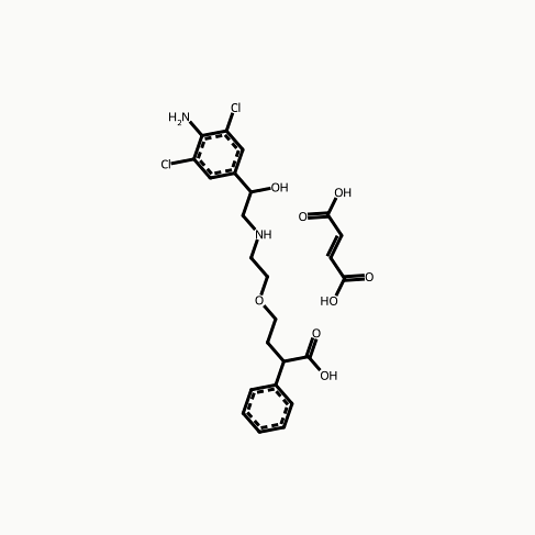 Nc1c(Cl)cc(C(O)CNCCOCCC(C(=O)O)c2ccccc2)cc1Cl.O=C(O)/C=C/C(=O)O